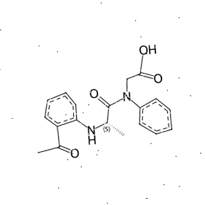 CC(=O)c1ccccc1N[C@@H](C)C(=O)N(CC(=O)O)c1ccccc1